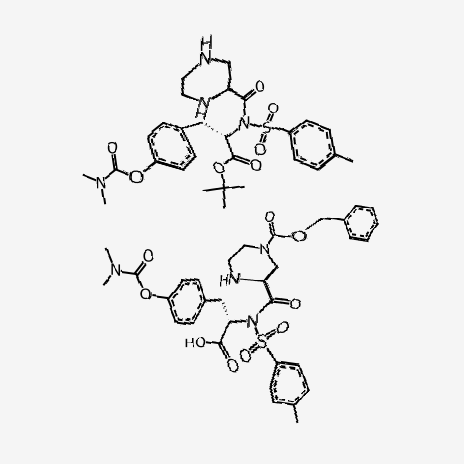 Cc1ccc(S(=O)(=O)N(C(=O)C2CN(C(=O)OCc3ccccc3)CCN2)[C@@H](Cc2ccc(OC(=O)N(C)C)cc2)C(=O)O)cc1.Cc1ccc(S(=O)(=O)N(C(=O)C2CNCCN2)[C@@H](Cc2ccc(OC(=O)N(C)C)cc2)C(=O)OC(C)(C)C)cc1